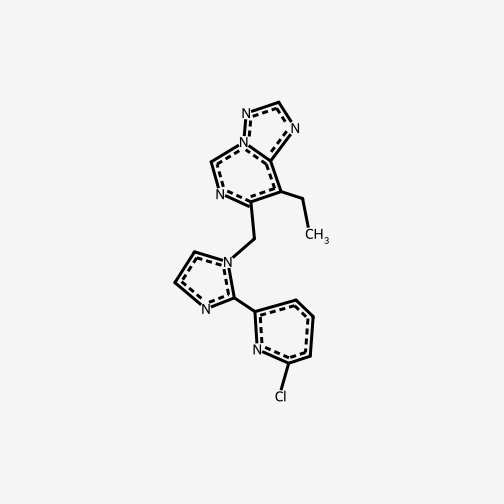 CCc1c(Cn2ccnc2-c2cccc(Cl)n2)ncn2ncnc12